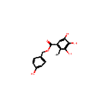 CCCc1c(C(=O)OCc2ccc(O)cc2)cc(O)c(O)c1O